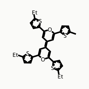 CCc1ccc(C2=CC(=C3C=C(c4ccc(CC)s4)OC(c4ccc(CC)s4)=C3)C=C(c3ccc(C)s3)O2)s1